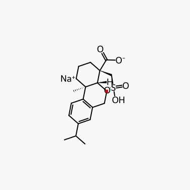 CC(C)c1ccc2c(c1)CC[C@H]1[C@@](CS(=O)(=O)O)(C(=O)[O-])CCC[C@]21C.[Na+]